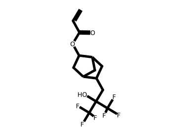 C=CC(=O)OC1CC2CC1CC2CC(O)(C(F)(F)F)C(F)(F)F